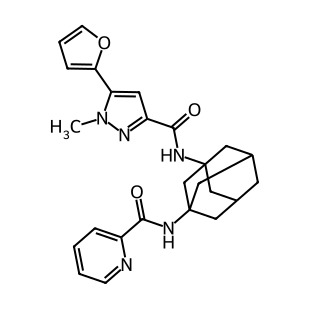 Cn1nc(C(=O)NC23CC4CC(CC(NC(=O)c5ccccn5)(C4)C2)C3)cc1-c1ccco1